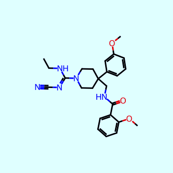 CCN/C(=N\C#N)N1CCC(CNC(=O)c2ccccc2OC)(c2cccc(OC)c2)CC1